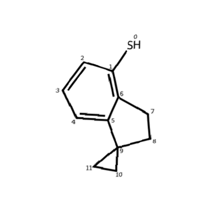 Sc1cccc2c1CCC21CC1